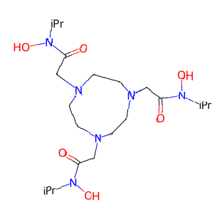 CC(C)N(O)C(=O)CN1CCN(CC(=O)N(O)C(C)C)CCN(CC(=O)N(O)C(C)C)CC1